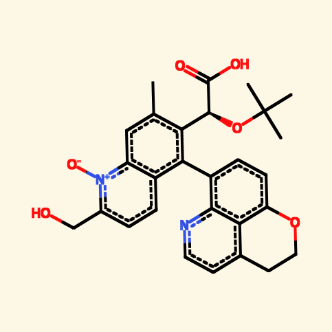 Cc1cc2c(ccc(CO)[n+]2[O-])c(-c2ccc3c4c(ccnc24)CCO3)c1[C@H](OC(C)(C)C)C(=O)O